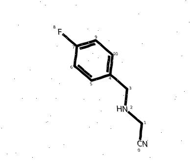 N#CCNCc1ccc(F)cc1